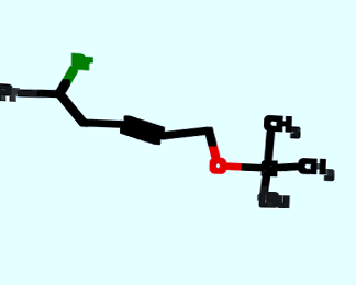 CC(C)C(Br)CC#CCO[Si](C)(C)C(C)(C)C